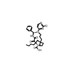 CCCCC(CC1(CCCOc2ccnc(Cl)n2)CCC1)(NC(=O)O)C(=O)C(=O)N[C@H](C)c1ccccc1